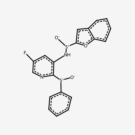 [O-][S+](Nc1cc(F)cnc1[S+]([O-])c1ccccc1)c1cc2ccccc2o1